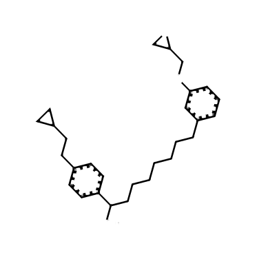 CCCCCCCC(CCCCCCCc1cccc(OCC2CO2)c1)c1ccc(CCC2CC2)cc1